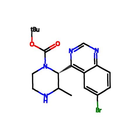 CC1NCCN(C(=O)OC(C)(C)C)[C@@H]1c1ncnc2ccc(Br)cc12